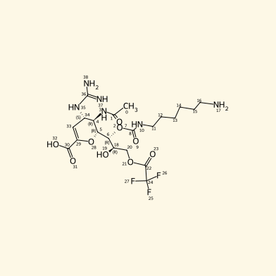 CC(=O)N[C@H]1[C@H]([C@H](OC(=O)NCCCCCCN)[C@H](O)COC(=O)C(F)(F)F)OC(C(=O)O)=C[C@@H]1NC(=N)N